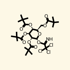 CC(C)(C)C(=O)OC[C@H]1O[C@H](OC(=N)C(Cl)(Cl)Cl)[C@H](OC(=O)C(C)(C)C)[C@@H](OC(=O)C(C)(C)C)[C@@H]1OC(=O)C(C)(C)C